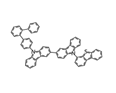 c1ccc(-c2ccccc2-c2ccc(-n3c4ccccc4c4cc(-c5ccc6c(c5)c5ccccc5n6-c5cccc6c5sc5ccccc56)ccc43)cc2)cc1